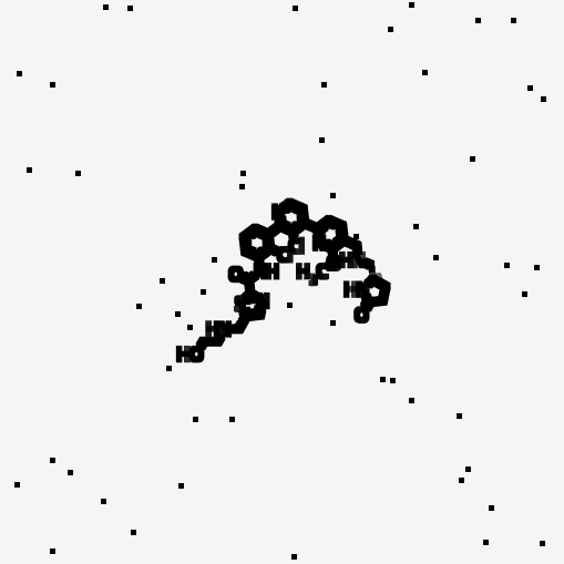 COc1nc(-c2ccnc(-c3cccc(NC(=O)c4ncc(CNCCO)s4)c3Cl)c2Cl)ccc1CNC[C@@H]1CCC(=O)N1